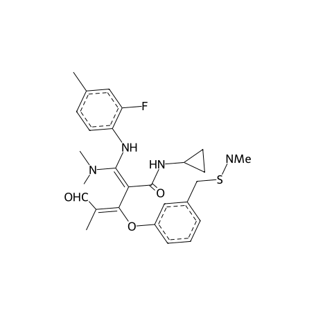 CNSCc1cccc(OC(=C(\C)C=O)/C(C(=O)NC2CC2)=C(/Nc2ccc(C)cc2F)N(C)C)c1